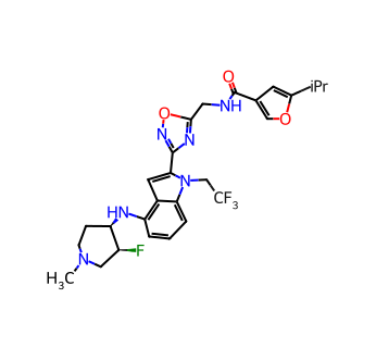 CC(C)c1cc(C(=O)NCc2nc(-c3cc4c(N[C@@H]5CCN(C)C[C@@H]5F)cccc4n3CC(F)(F)F)no2)co1